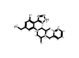 CC(C)Cc1cc(F)c(-c2nn[nH]n2)c(N2CC(C)N(Cc3cccnn3)C(C)C2)c1